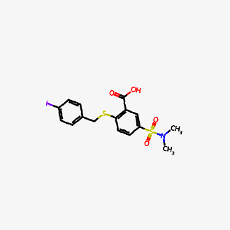 CN(C)S(=O)(=O)c1ccc(SCc2ccc(I)cc2)c(C(=O)O)c1